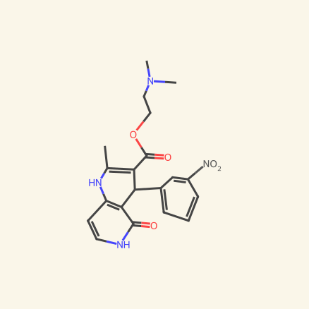 CC1=C(C(=O)OCCN(C)C)C(c2cccc([N+](=O)[O-])c2)c2c(cc[nH]c2=O)N1